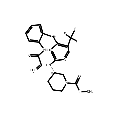 C=CC(=O)Nc1ccccc1Nc1nc(N[C@H]2CCCN(C(=O)OC)C2)ncc1C(F)(F)F